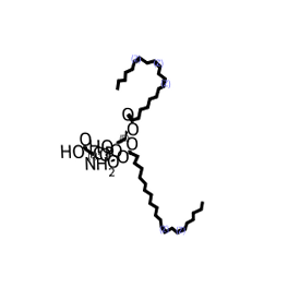 CCCCC/C=C\C/C=C\C/C=C\CCCCCCC(=O)OC[C@H](COP(=O)(O)OC[C@H](N)C(=O)O)OC(=O)CCCCCCCCCCC/C=C\C/C=C\CCCCC